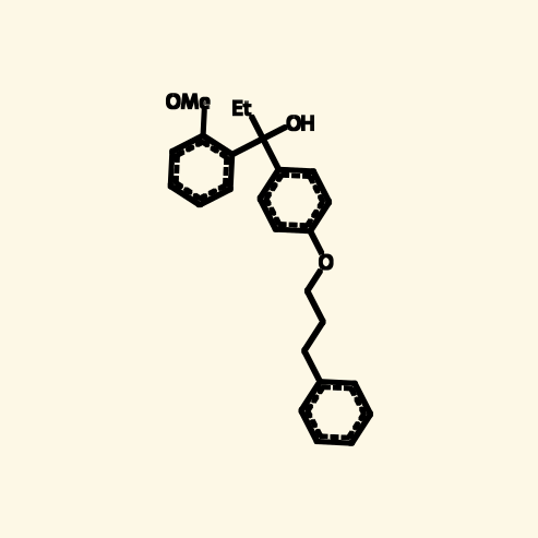 CCC(O)(c1ccc(OCCCc2ccccc2)cc1)c1ccccc1OC